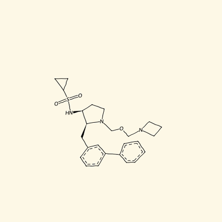 O=S(=O)(N[C@H]1CCN(COCN2CCC2)[C@H]1Cc1cccc(-c2ccccc2)c1)C1CC1